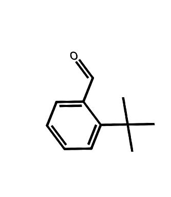 CC(C)(C)c1ccccc1C=O